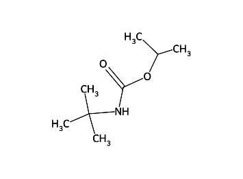 CC(C)OC(=O)NC(C)(C)C